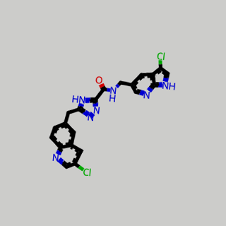 O=C(NCc1cnc2[nH]cc(Cl)c2c1)c1nnc(Cc2ccc3ncc(Cl)cc3c2)[nH]1